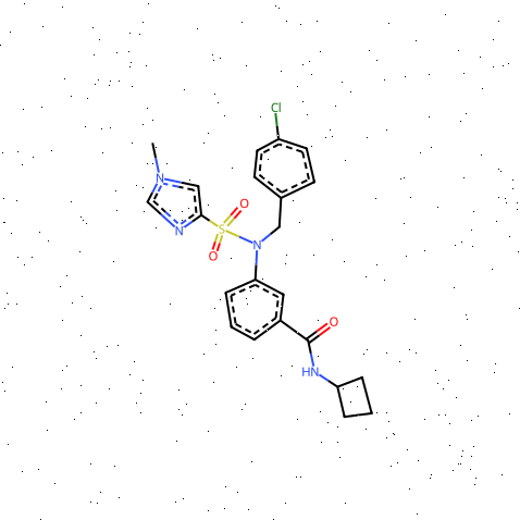 Cn1cnc(S(=O)(=O)N(Cc2ccc(Cl)cc2)c2cccc(C(=O)NC3CCC3)c2)c1